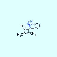 Cc1cc(C)c(-c2cc3ccccc3c3ncnn23)c(C)c1